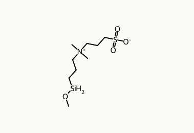 CO[SiH2]CCC[N+](C)(C)CCCS(=O)(=O)[O-]